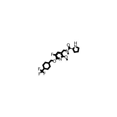 COc1nc(OCC2CCC(C(F)(F)F)CC2)c(F)cc1CN(C)C(=O)[C@@H]1CCCN1